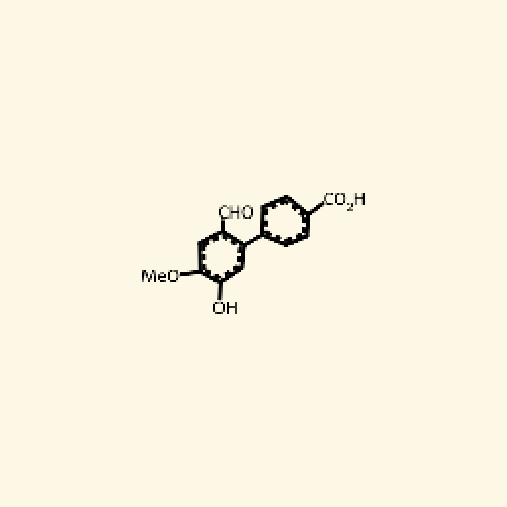 COc1cc(C=O)c(-c2ccc(C(=O)O)cc2)cc1O